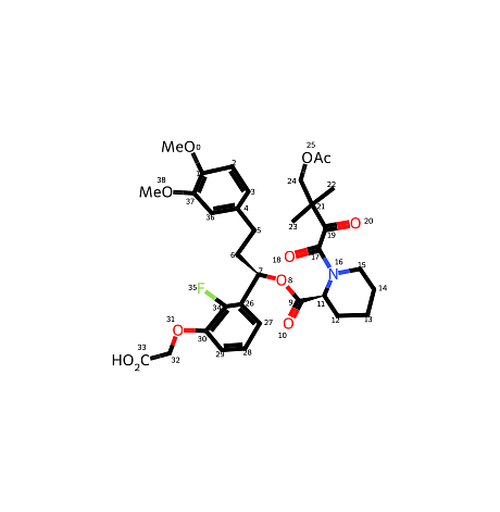 COc1ccc(CC[C@@H](OC(=O)[C@@H]2CCCCN2C(=O)C(=O)C(C)(C)COC(C)=O)c2cccc(OCC(=O)O)c2F)cc1OC